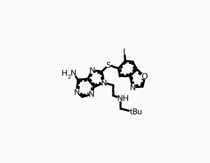 CC(C)(C)CNCCn1c(Sc2cc3ncoc3cc2I)nc2c(N)ncnc21